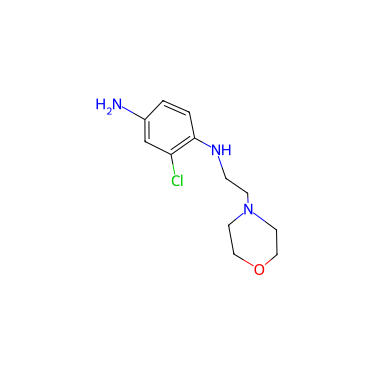 Nc1ccc(NCCN2CCOCC2)c(Cl)c1